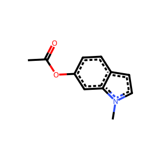 CC(=O)Oc1ccc2ccn(C)c2c1